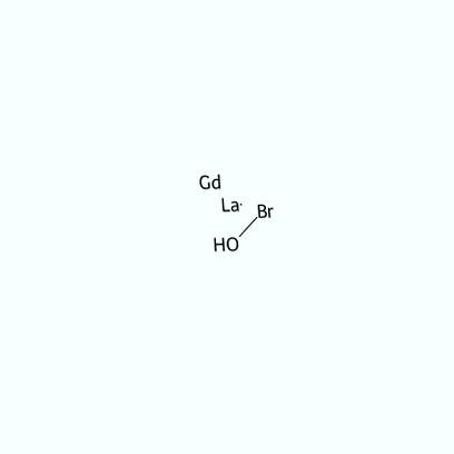 OBr.[Gd].[La]